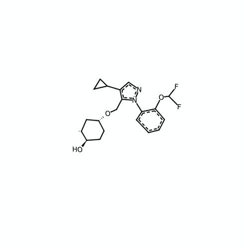 O[C@H]1[CH]C[C@H](OCc2c(C3CC3)cnn2-c2ccccc2OC(F)F)CC1